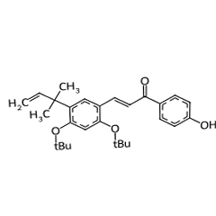 C=CC(C)(C)c1cc(C=CC(=O)c2ccc(O)cc2)c(OC(C)(C)C)cc1OC(C)(C)C